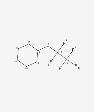 FC(F)(F)C(F)(F)CC1CCCCC1